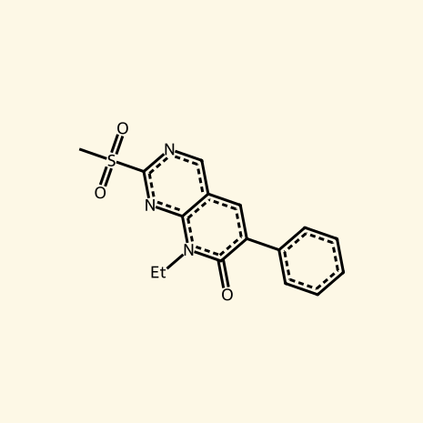 CCn1c(=O)c(-c2ccccc2)cc2cnc(S(C)(=O)=O)nc21